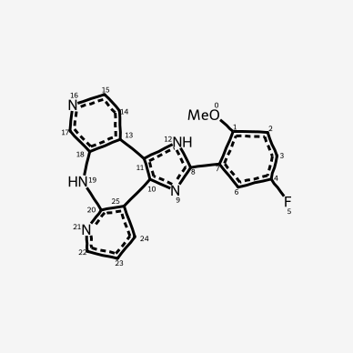 COc1ccc(F)cc1-c1nc2c([nH]1)-c1ccncc1Nc1ncccc1-2